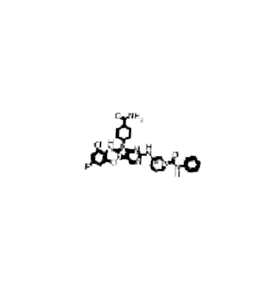 NC(=O)C1CCC(n2c(Nc3c(Cl)cc(F)cc3Cl)nc3cnc(N[C@@H]4CCCN(C(=O)Nc5ccccc5)C4)nc32)CC1